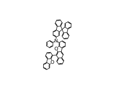 c1ccc(N(c2ccc3c(c2)C2(c4ccccc4-c4ccccc42)c2ccccc2-3)c2cccc3c2oc2c(-c4cccc5c4oc4ccccc45)c4ccccc4cc23)cc1